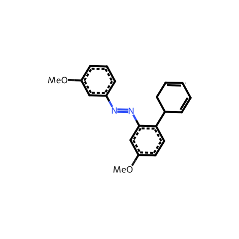 COc1cccc(/N=N/c2cc(OC)ccc2C2C=C[C]=CC2)c1